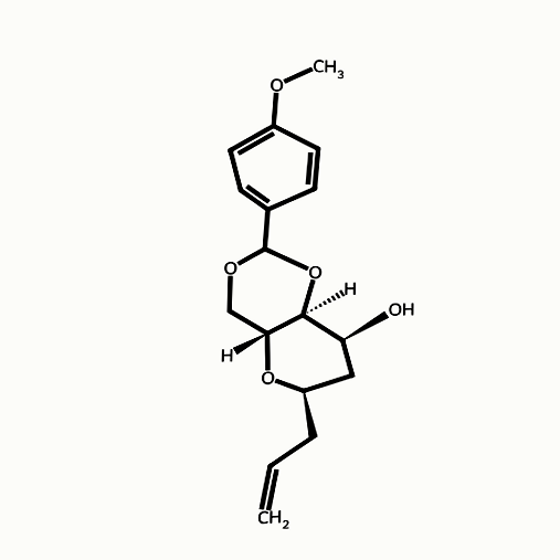 C=CC[C@@H]1C[C@H](O)[C@@H]2OC(c3ccc(OC)cc3)OC[C@H]2O1